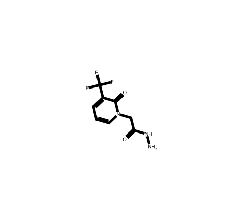 NNC(=O)Cn1cccc(C(F)(F)F)c1=O